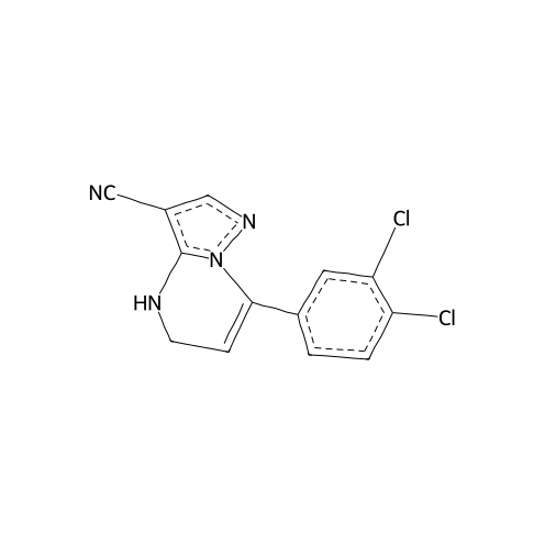 N#Cc1cnn2c1NCC=C2c1ccc(Cl)c(Cl)c1